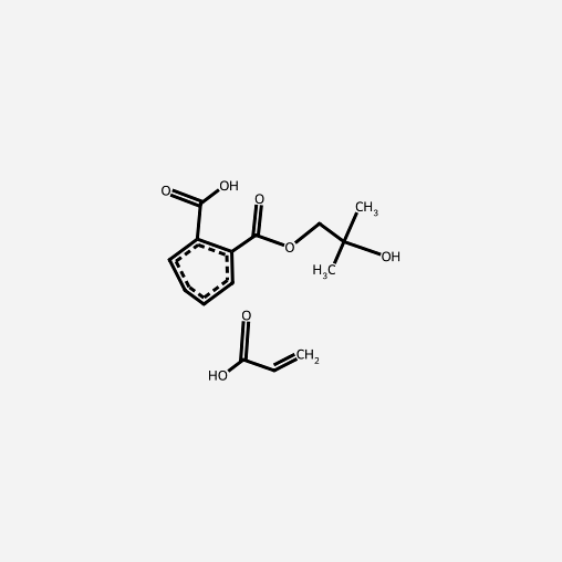 C=CC(=O)O.CC(C)(O)COC(=O)c1ccccc1C(=O)O